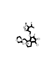 Cl.Cn1nnc(COc2c(F)cc(Cl)c3c2C(CN2CCOCC2=O)NCC3)c1C(F)F